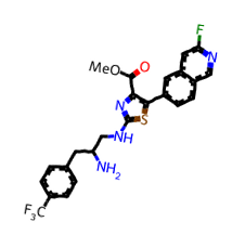 COC(=O)c1nc(NCC(N)Cc2ccc(C(F)(F)F)cc2)sc1-c1ccc2cnc(F)cc2c1